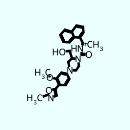 COc1cc(N2CCN(C(=O)N[C@@H](C)c3cccc4ccccc34)C(CO)C2)ccc1-c1cnc(C)o1